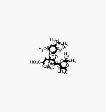 CO[C@](C)(C[C@@H](C)C(=O)O)[C@H](O[C@@H]1O[C@H](C)CC(N(C)C)[C@H]1P=O)[C@H](C)C1=C(C)C(=O)OC(C)(C)O1